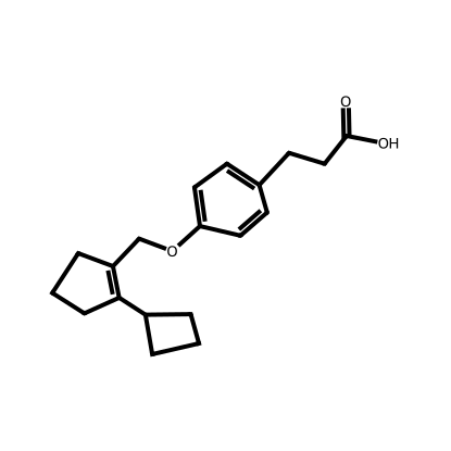 O=C(O)CCc1ccc(OCC2=C(C3CCC3)CCC2)cc1